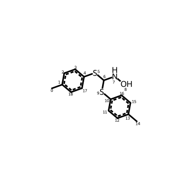 Cc1ccc(SC(NO)Sc2ccc(C)cc2)cc1